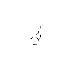 CC(C)[C@@H]1CN(C(C)(C)C)c2cc(F)c(O/C=C(\F)C(=O)O)cc2S(=O)(=O)N1C